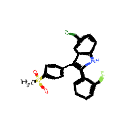 CS(=O)(=O)c1ccc(-c2c(-c3ccccc3F)[nH]c3ccc(Cl)cc23)cc1